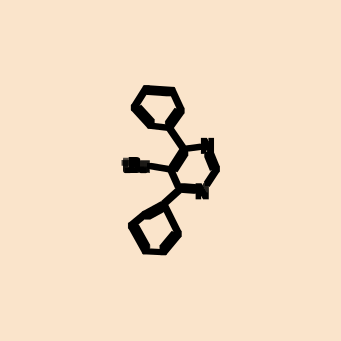 CC(C)(C)c1c(-c2ccccc2)ncnc1-c1ccccc1